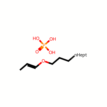 CC=COCCCCCCCCCC.O=P(O)(O)O